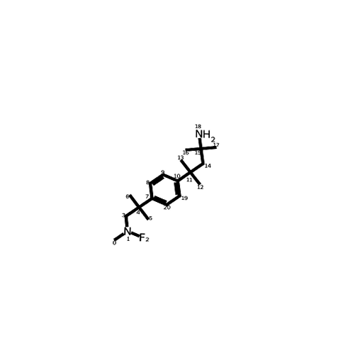 CN(F)CC(C)(C)c1ccc(C(C)(C)CC(C)(C)N)cc1